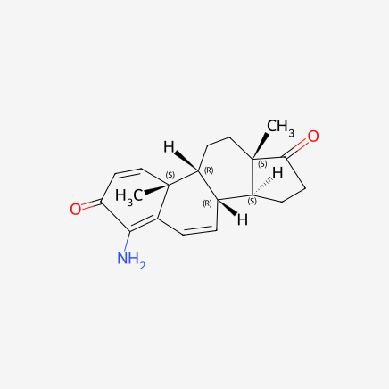 C[C@]12C=CC(=O)C(N)=C1C=C[C@@H]1[C@H]2CC[C@]2(C)C(=O)CC[C@@H]12